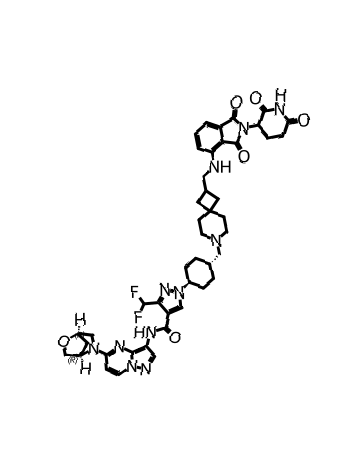 O=C1CCC(N2C(=O)c3cccc(NCC4CC5(CCN(C[C@H]6CC[C@H](n7cc(C(=O)Nc8cnn9ccc(N%10C[C@H]%11C[C@@H]%10CO%11)nc89)c(C(F)F)n7)CC6)CC5)C4)c3C2=O)C(=O)N1